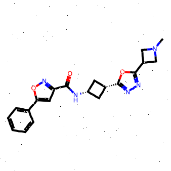 CN1CC(c2nnc([C@H]3C[C@@H](NC(=O)c4cc(-c5ccccc5)on4)C3)o2)C1